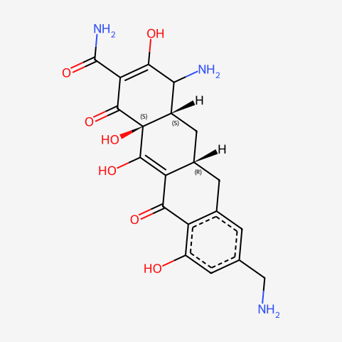 NCc1cc(O)c2c(c1)C[C@H]1C[C@H]3C(N)C(O)=C(C(N)=O)C(=O)[C@@]3(O)C(O)=C1C2=O